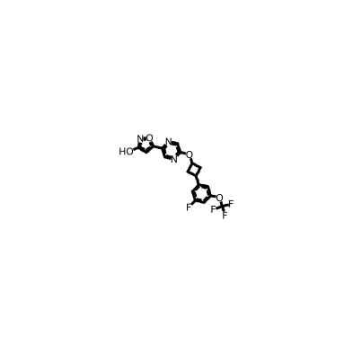 Oc1cc(-c2cnc(OC3CC(c4cc(F)cc(OC(F)(F)F)c4)C3)cn2)on1